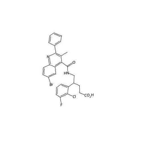 Cc1c(-c2ccccc2)nc2ccc(Br)cc2c1C(=O)NCC(CCC(=O)O)c1cccc(F)c1Cl